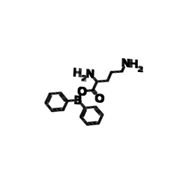 NCCCC(N)C(=O)OB(c1ccccc1)c1ccccc1